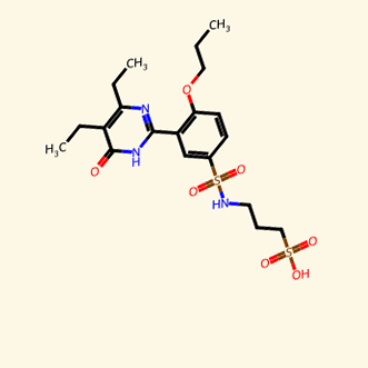 CCCOc1ccc(S(=O)(=O)NCCCS(=O)(=O)O)cc1-c1nc(CC)c(CC)c(=O)[nH]1